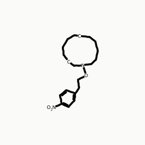 O=[N+]([O-])c1ccc(CCON2CCCCCCCCCCCC2)cc1